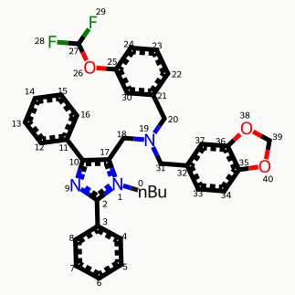 CCCCn1c(-c2ccccc2)nc(-c2ccccc2)c1CN(Cc1cccc(OC(F)F)c1)Cc1ccc2c(c1)OCO2